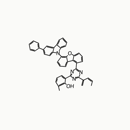 C=C(/C=C\C)c1nc(-c2cccc(C)c2O)nc(-c2cccc3oc4c(-n5c6ccccc6c6cc(-c7ccccc7)ccc65)cccc4c23)n1